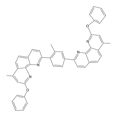 Cc1cc(-c2ccc3ccc4c(C)cc(Oc5ccccc5)nc4c3n2)ccc1-c1ccc2ccc3c(C)cc(Oc4ccccc4)nc3c2n1